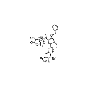 COc1c(Br)cc(CC2NCCc3cc(OCc4ccccc4)c(NS(C)(=O)=O)cc32)cc1Br.O=C(O)C(=O)O